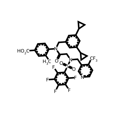 Cc1cc(C(=O)O)ccc1N(Cc1cc(C2CC2)cc(C2CC2)c1)C(=O)CN(Cc1cnccc1C(F)(F)F)S(=O)(=O)c1c(F)c(F)c(F)c(F)c1F